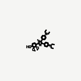 CCN(CC)c1ccc(-c2nc(-c3ccc(O)c(OC)c3OC)n(C)c2-c2ccc(N(CC)CC)cc2)cc1